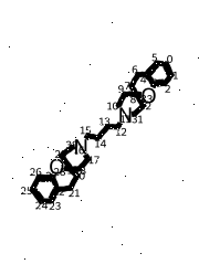 c1ccc2c(c1)CCC1(CCN(CCCCN3CCC4(CCc5ccccc5O4)CC3)CC1)O2